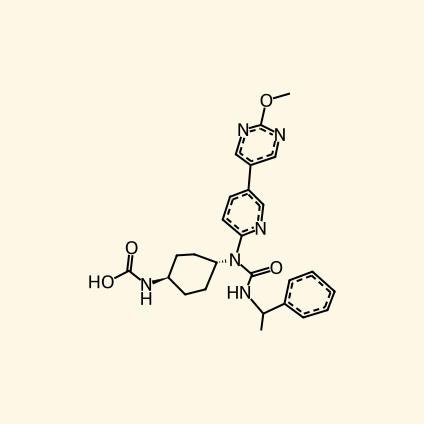 COc1ncc(-c2ccc(N(C(=O)NC(C)c3ccccc3)[C@H]3CC[C@H](NC(=O)O)CC3)nc2)cn1